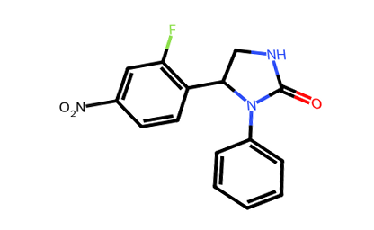 O=C1NCC(c2ccc([N+](=O)[O-])cc2F)N1c1ccccc1